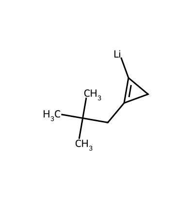 [Li][C]1=C(CC(C)(C)C)C1